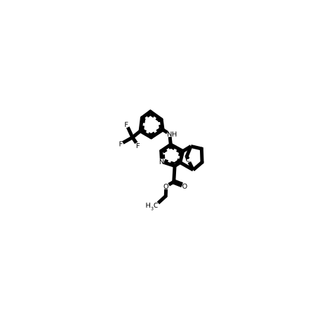 CCOC(=O)c1ncc(Nc2cccc(C(F)(F)F)c2)c2c1C1CCC2CC1